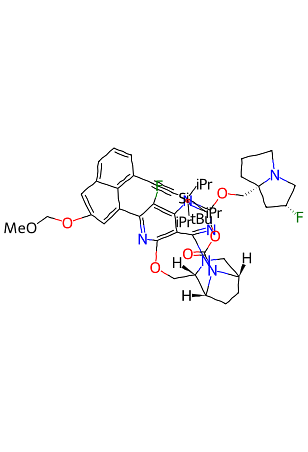 COCOc1cc(-c2nc3c4c(nc(OC[C@]56CCCN5C[C@H](F)C6)nc4c2F)N2C[C@@H]4CC[C@H]([C@@H]2CO3)N4C(=O)OC(C)(C)C)c2c(C#C[Si](C(C)C)(C(C)C)C(C)C)cccc2c1